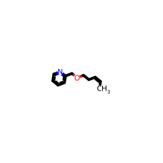 C/C=C\CCOCc1ccccn1